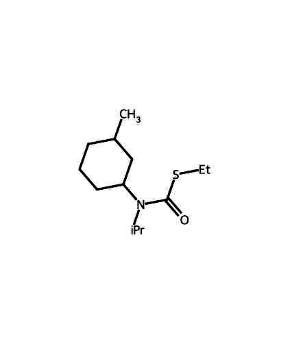 CCSC(=O)N(C(C)C)C1CCCC(C)C1